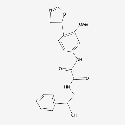 COc1cc(NC(=O)C(=O)NCC(C)c2ccccc2)ccc1-c1cnco1